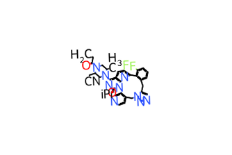 C=CC(=O)N1CC(C)N(c2nc(=O)n3c4nc(c(F)cc24)-c2c(F)cccc2Cc2cnnn2Cc2ccnc(C(C)C)c2-3)CC1CC#N